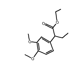 CCOC(=O)C(CC)c1ccc(OC)c(OC)c1